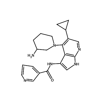 NC1CCCN(c2c(C3CC3)cnc3[nH]cc(NC(=O)c4cccnc4)c23)C1